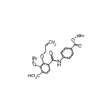 C=CCOc1c(C(=O)Nc2ccc(C(=O)OC(C)(C)C)cc2)ccc(C(=O)O)c1OC(C)C